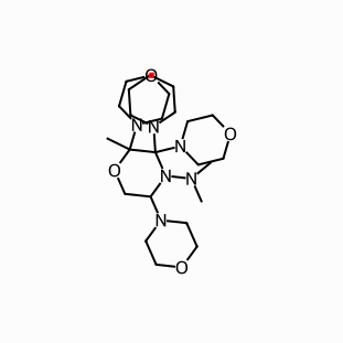 CN(C)N1C(N2CCOCC2)COC(C)(N2CCOCC2)C1(N1CCCCC1)N1CCOCC1